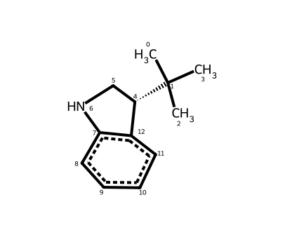 CC(C)(C)[C@H]1CNc2ccccc21